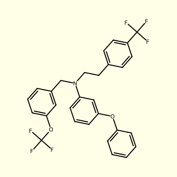 FC(F)(F)Oc1cccc(CN(CCc2ccc(C(F)(F)F)cc2)c2cccc(Oc3ccccc3)c2)c1